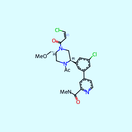 CNC(=O)c1cc(-c2cc(Cl)cc([C@@H]3CN(C(=O)/C=C\Cl)[C@@H](COC)CN3C(C)=O)c2)ccn1